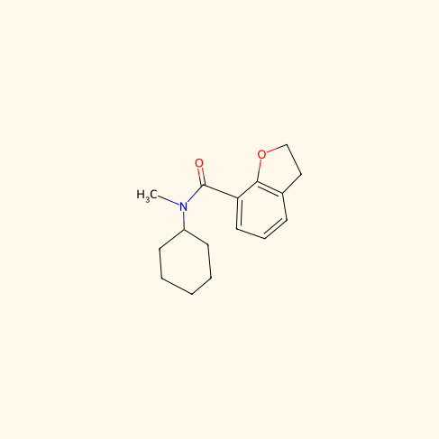 CN(C(=O)c1cccc2c1OCC2)C1CCCCC1